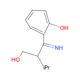 CC(C)C(CO)C(=N)c1ccccc1O